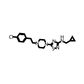 Clc1ccc(CCN2CCN(c3nc(NCC4CC4)ns3)CC2)cc1